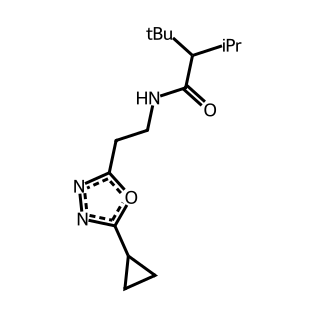 CC(C)C(C(=O)NCCc1nnc(C2CC2)o1)C(C)(C)C